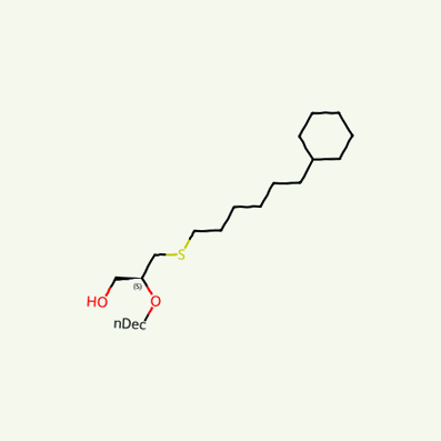 CCCCCCCCCCO[C@@H](CO)CSCCCCCCC1CCCCC1